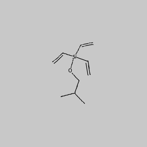 C=C[Si](C=C)(C=C)OCC(C)C